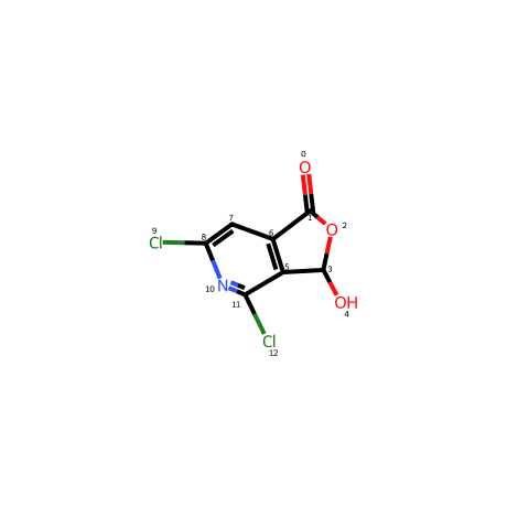 O=C1OC(O)c2c1cc(Cl)nc2Cl